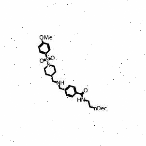 CCCCCCCCCCCCNC(=O)c1ccc(CNCC2CCN(S(=O)(=O)c3ccc(OC)cc3)CC2)cc1